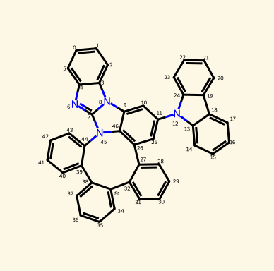 c1ccc2c(c1)nc1n2c2cc(-n3c4ccccc4c4ccccc43)cc3c4ccccc4c4ccccc4c4ccccc4n1c32